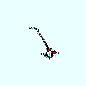 COCCOCCOCCOCCOCCOCCOCCOCCC(=O)N[C@H]1CSSC[C@@H](C(N)=O)NC(=O)[C@H](C(C)C)NC(=O)[C@H](C)NC(=O)[C@H](Cc2c[nH]cn2)NC1=O